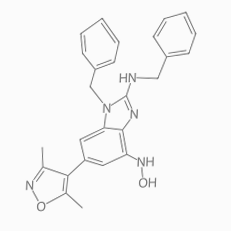 Cc1noc(C)c1-c1cc(NO)c2nc(NCc3ccccc3)n(Cc3ccccc3)c2c1